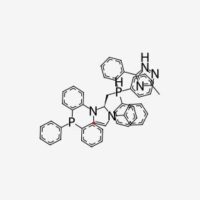 Cc1n[nH]c(-c2ccccc2[PH](C[C@H]2N(c3ccccc3)C=CN2c2ccccc2P(c2ccccc2)c2ccccc2)(c2ccccc2)c2ccccc2)n1